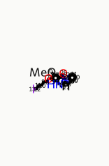 COc1cc2c(cc1OCCCCCI)NC[C@@H]1Cc3ccccc3N1C2=O